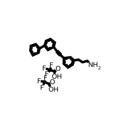 NCCCc1cccc(C#Cc2cccc(-c3ccccc3)c2)c1.O=C(O)C(F)(F)F.O=C(O)C(F)(F)F